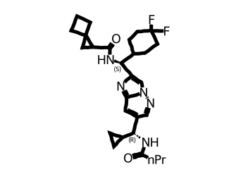 CCCC(=O)N[C@@H](c1cnn2cc([C@@H](NC(=O)C3CC34CCC4)C3CCC(F)(F)CC3)nc2c1)C1CC1